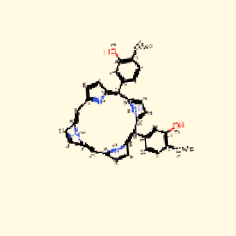 COc1ccc(-c2c3nc(cc4ccc(cc5nc(c(-c6ccc(OC)c(O)c6)c6ccc2[nH]6)C=C5)[nH]4)C=C3)cc1O